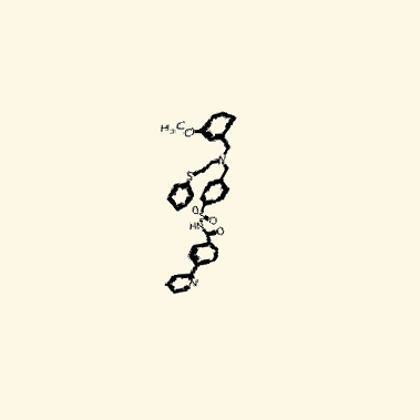 COc1cccc(CN(CCSc2ccccc2)Cc2ccc(S(=O)(=O)NC(=O)c3ccc(-c4ccccn4)cc3)cc2)c1